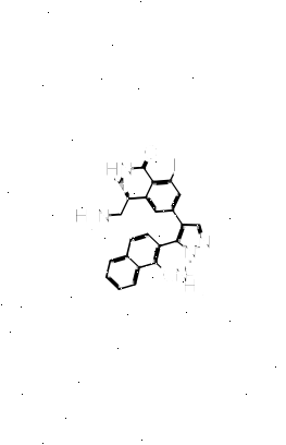 Cn1ncc(-c2cc(F)c3c(=O)[nH]nc(CN)c3c2)c1-c1ccc2ccccc2c1C#N